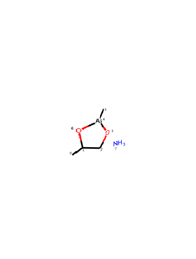 CC1CO[As](C)O1.N